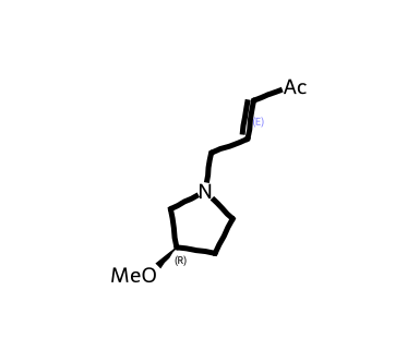 CO[C@@H]1CCN(C/C=C/C(C)=O)C1